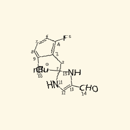 CCCCC1(Cc2c(F)cccc2Cl)NC=C(C=O)N1